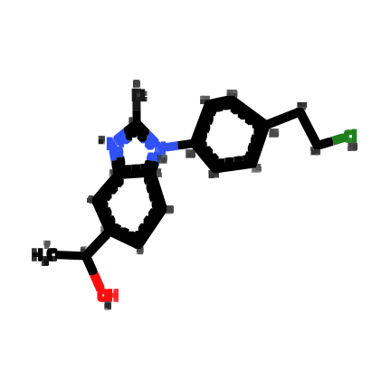 CCc1nc2cc(C(C)O)ccc2n1-c1ccc(CCCl)cc1